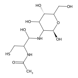 CC(=O)NC(CS)C(O)NC1C(O)[C@H](O)C(CO)O[C@H]1O